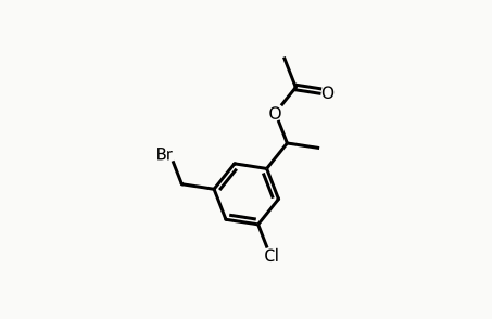 CC(=O)OC(C)c1cc(Cl)cc(CBr)c1